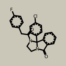 O=C(Cc1ccc(F)cc1)N1CCN2C(=O)c3ccccc3C12c1ccc(Cl)cc1